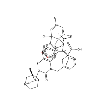 O=C(O[C@H]1CN2CCC1CC2)N(CC1=CC=CC(CCC2(c3ccccc3OC(F)F)C(Cl)=C[N+]([O-])=CC2(Cl)c2ccccc2OC(F)F)(C(=O)O)C1)c1ccccc1F